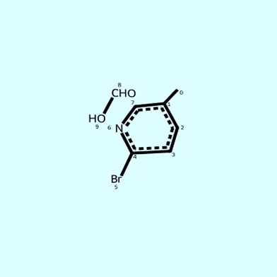 Cc1ccc(Br)nc1.O=CO